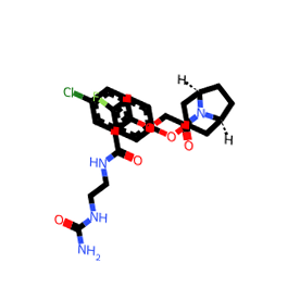 NC(=O)NCCNC(=O)c1cc(Cl)ccc1OCC(=O)N1[C@@H]2CC[C@H]1CC(Oc1ccc(F)cc1)C2